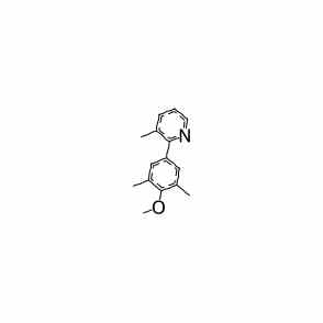 COc1c(C)cc(-c2ncccc2C)cc1C